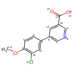 COc1ccc(-c2cncc(C(=O)O)c2)cc1Cl